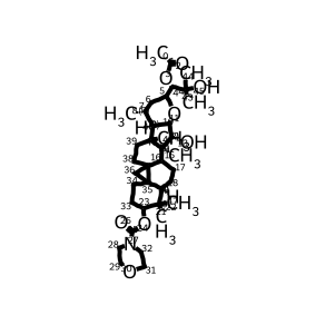 CC(=O)OC(C1C[C@@H](C)[C@H]2C(O1)[C@H](O)[C@@]1(C)C3CC[C@H]4C(C)(C)C(OC(=O)N5CCOCC5)CCC45CC35CCC21C)C(C)(C)O